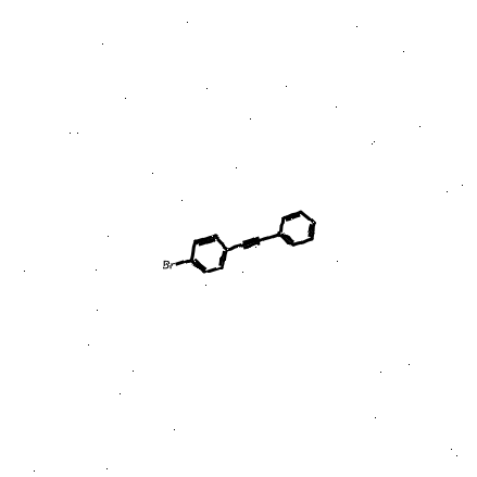 Brc1ccc(C#Cc2ccccc2)cc1